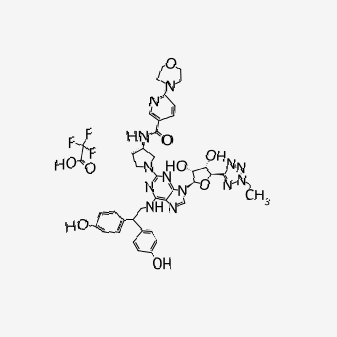 CCn1nnc([C@H]2O[C@@H](n3cnc4c(NCC(c5ccc(O)cc5)c5ccc(O)cc5)nc(N5CC[C@@H](NC(=O)c6ccc(N7CCOCC7)nc6)C5)nc43)[C@H](O)[C@@H]2O)n1.O=C(O)C(F)(F)F